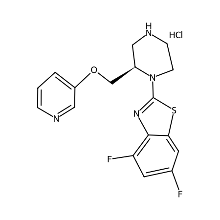 Cl.Fc1cc(F)c2nc(N3CCNC[C@@H]3COc3cccnc3)sc2c1